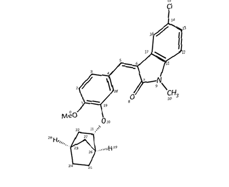 COc1ccc(/C=C2\C(=O)N(C)c3ccc(Cl)cc32)cc1O[C@H]1C[C@@H]2CC[C@H]1C2